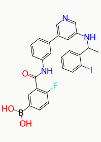 CC(Nc1cncc(-c2cccc(NC(=O)c3cc(B(O)O)ccc3F)c2)c1)c1ccccc1I